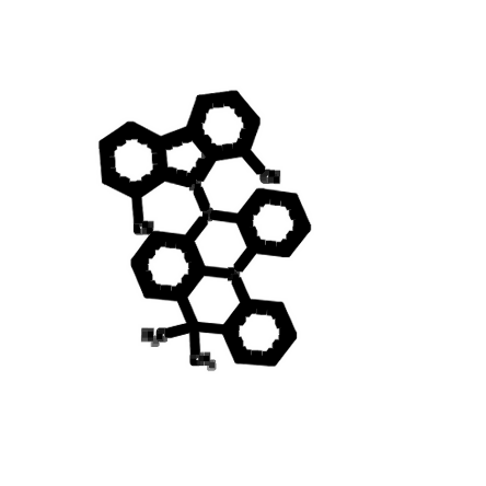 CC1(C)c2ccccc2N2c3ccccc3B(n3c4c(C#N)cccc4c4cccc(C#N)c43)c3cccc1c32